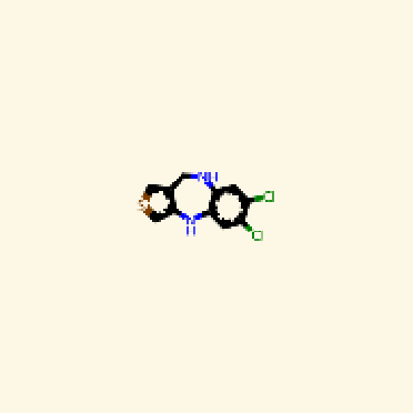 Clc1cc2c(cc1Cl)Nc1cscc1CN2